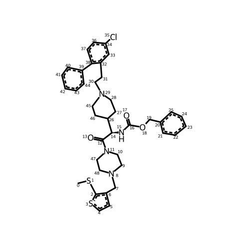 CSc1sccc1CN1CCN(C(=O)[C@H](NC(=O)OCc2ccccc2)C2CCN(CCc3cc(Cl)ccc3-c3ccccc3)CC2)CC1